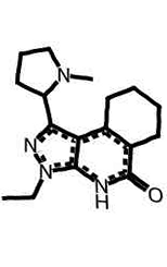 CCn1nc(C2CCCN2C)c2c3c(c(=O)[nH]c21)CCCC3